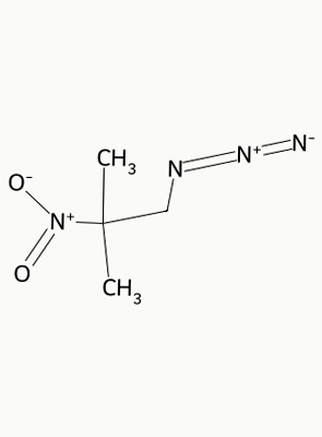 CC(C)(CN=[N+]=[N-])[N+](=O)[O-]